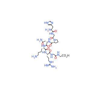 N=C(N)NCCC[C@H](NC(=O)[C@H](CCCCN)NC(=O)[C@H](CC(N)=O)NC(=O)[C@@H]1CCCN1C(=O)CNC(=O)[C@@H](N)Cc1c[nH]cn1)C(=O)NCC(=O)NCC(=O)O